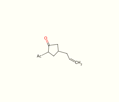 C=CCC1CC(=O)C(C(C)=O)C1